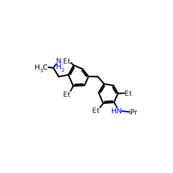 CCc1cc(Cc2cc(CC)c(NC(C)C)c(CC)c2)cc(CC)c1CC(C)N